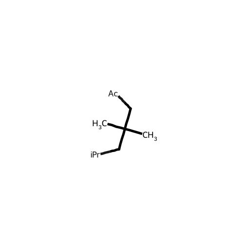 CC(=O)CC(C)(C)CC(C)C